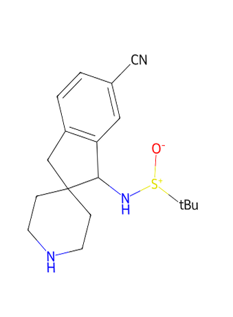 CC(C)(C)[S+]([O-])NC1c2cc(C#N)ccc2CC12CCNCC2